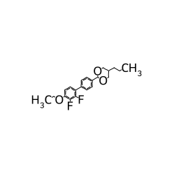 CCCC1COC(c2ccc(-c3ccc(OCC)c(F)c3F)cc2)OC1